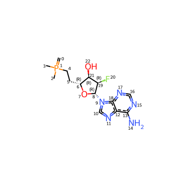 C=P(C)(C)CC[C@H]1O[C@@H](n2cnc3c(N)ncnc32)[C@H](F)[C@@H]1O